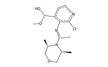 COC(O)c1ccnc(Cl)c1/N=C(\C)N1[C@H](C)COC[C@@H]1C